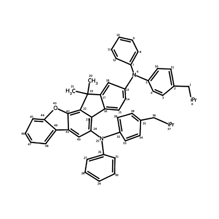 CC(C)Cc1ccc(N(c2ccccc2)c2ccc3c(c2)C(C)(C)c2c-3c(N(c3ccccc3)c3ccc(CC(C)C)cc3)cc3c2oc2ccccc23)cc1